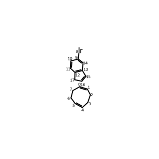 C1=CCCC=CCC1.[Ir][c]1ccc2c(c1)C=CC2